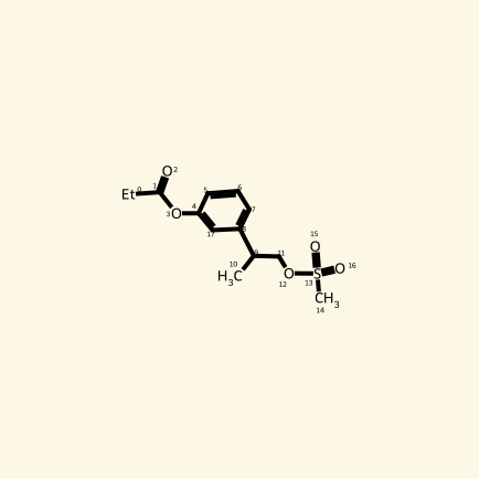 CCC(=O)Oc1cccc(C(C)COS(C)(=O)=O)c1